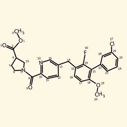 COC(=O)C1CCN(C(=O)c2ccc(Cc3ccc(OC)c(-c4cccc(Cl)c4)c3F)cn2)C1